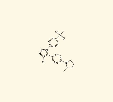 CC1CCCN1c1ccc(-c2c(Cl)ncn2-c2ccc(S(C)(=O)=O)cc2)cc1